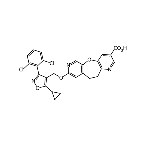 O=C(O)c1cnc2c(c1)Oc1cnc(OCc3c(-c4c(Cl)cccc4Cl)noc3C3CC3)cc1CC2